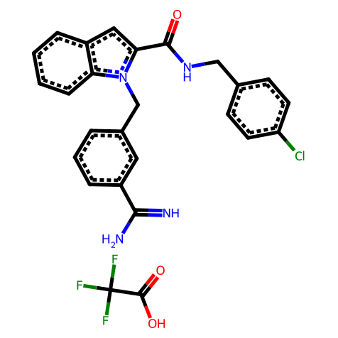 N=C(N)c1cccc(Cn2c(C(=O)NCc3ccc(Cl)cc3)cc3ccccc32)c1.O=C(O)C(F)(F)F